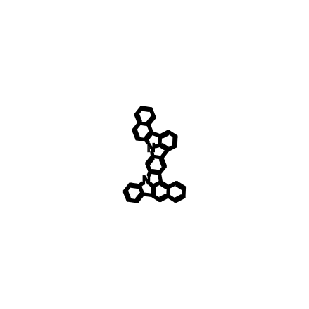 c1ccc2c(c1)ccc1c2c2cccc3c4cc5c6c7ccccc7cc7c8ccccc8n(c5cc4n1c32)c76